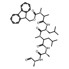 CC(C)CC(C(=O)N[C@@H](C)C(=O)N[C@@H](C)C=O)N(C)C(=O)[C@H](CC(C)C)NC(=O)C(C)N(C)C(=O)OCC1c2ccccc2-c2ccccc21